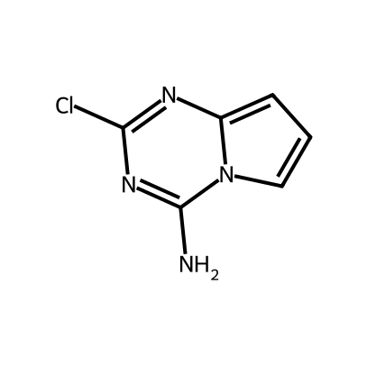 Nc1nc(Cl)nc2cccn12